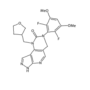 COc1cc(OC)c(F)c(N2Cc3cnc4[nH]ncc4c3N(CC3CCOC3)C2=O)c1F